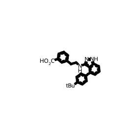 CC(C)(C)c1ccc(-c2cccc3[nH]nc(NCCc4cccc(C(=O)O)c4)c23)cc1